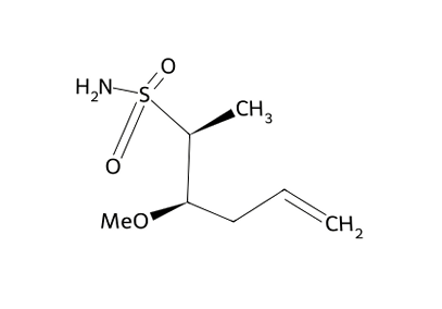 C=CC[C@@H](OC)[C@H](C)S(N)(=O)=O